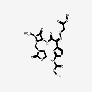 CC(C)(C)OC(=O)CO/N=C(\C(=O)N[C@@H]1C(=O)N(S(=O)(=O)O)[C@@H]1CN1CCOC1=O)c1csc(NC(=O)OC(C)(C)C)n1